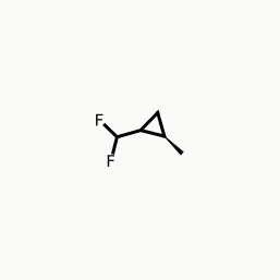 C[C@@H]1CC1C(F)F